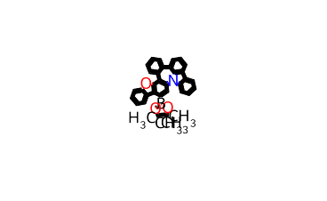 CC1(C)OB(c2cc3c(c4oc5ccccc5c24)-c2ccccc2-c2cccc4c5ccccc5n-3c24)OC1(C)C